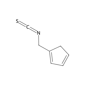 S=C=NCC1=CC=CC1